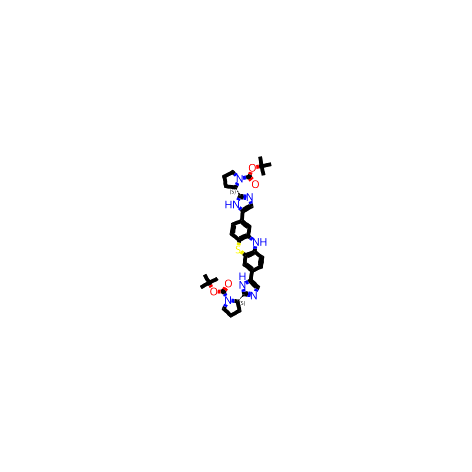 CC(C)(C)OC(=O)N1CCC[C@H]1c1ncc(-c2ccc3c(c2)Nc2ccc(-c4cnc([C@@H]5CCCN5C(=O)OC(C)(C)C)[nH]4)cc2S3)[nH]1